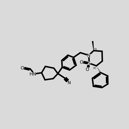 C[C@H]1CC[C@H](c2ccccc2)S(=O)(=O)N1Cc1ccc(C2(C#N)CCC(NC=O)CC2)cc1